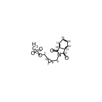 CS(=O)(=O)OCC1CC1CN1C(=O)c2ccccc2C1=O